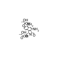 CC(O)C(=O)O.CC(O)C(=O)O.Nc1cc2c(N)cccc2c2c1C(C=O)=NC2C=O